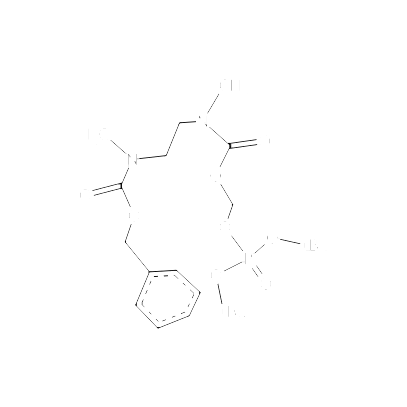 CN(CCN(C)C(=O)OCc1ccccc1)C(=O)OCOP(=O)(OC(C)(C)C)OC(C)(C)C